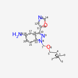 C[Si](C)(C)CCOCn1nc(-c2cnco2)c2cc(N)ccc21